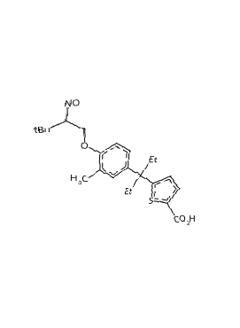 CCC(CC)(c1ccc(OCC(N=O)C(C)(C)C)c(C)c1)c1ccc(C(=O)O)s1